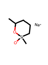 CC1CCC[Si](C)([O-])O1.[Na+]